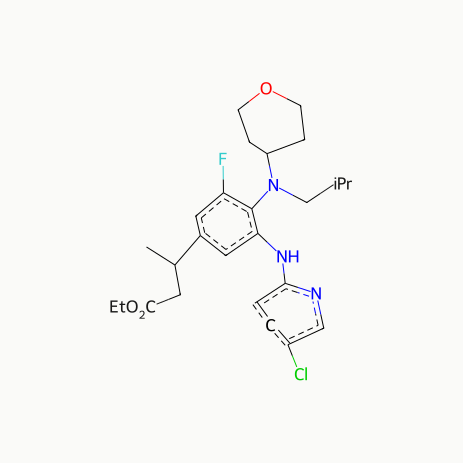 CCOC(=O)CC(C)c1cc(F)c(N(CC(C)C)C2CCOCC2)c(Nc2ccc(Cl)cn2)c1